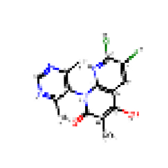 Cc1ncnc(C(C)C)c1-n1c(=O)c([N+](=O)[O-])c(O)c2cc(F)c(Cl)nc21